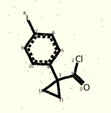 O=C(Cl)C1(c2ccc(I)cc2)CC1